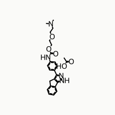 CC(=O)O.CN(C)CCOCCOC(=O)Nc1ccc(-c2n[nH]c3c2Cc2ccccc2-3)cc1